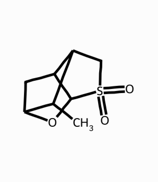 CC1C2CC3C1CS(=O)(=O)C3O2